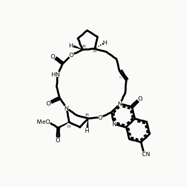 COC(=O)[C@@H]1C[C@@H]2CN1C(=O)CNC(=O)O[C@@H]1CCC[C@H]1CC/C=C/Cn1c(nc3cc(C#N)ccc3c1=O)O2